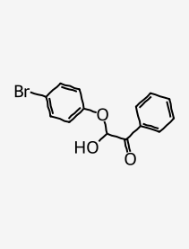 O=C(c1ccccc1)C(O)Oc1ccc(Br)cc1